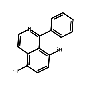 [2H]c1ccc([2H])c2c(-c3ccccc3)nccc12